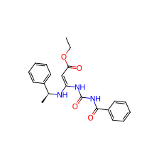 CCOC(=O)/C=C(\NC(=O)NC(=O)c1ccccc1)N[C@@H](C)c1ccccc1